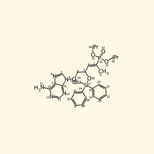 CC(=CC(COn1cnc2c(N)ncnc21)O[Si](c1ccccc1)(c1ccccc1)C(C)(C)C)P(=O)(OC(C)C)OC(C)C